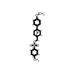 COc1ccc(C23CCC(COS(=O)(=O)c4ccc(C)cc4)(CC2)CO3)cc1